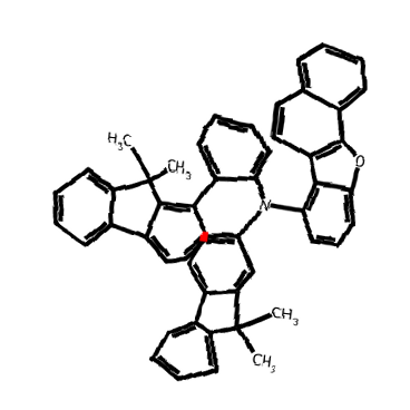 CC1(C)c2ccccc2-c2ccc(N(c3ccccc3-c3cccc4c3C(C)(C)c3ccccc3-4)c3cccc4oc5c6ccccc6ccc5c34)cc21